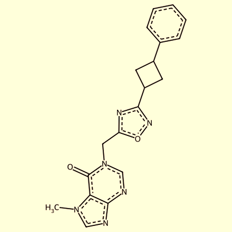 Cn1cnc2ncn(Cc3nc(C4CC(c5ccccc5)C4)no3)c(=O)c21